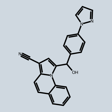 N#Cc1cc(C(O)c2ccc(-n3cccn3)cc2)n2c1ccc1ccccc12